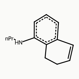 CCCNc1cccc2c1CCC=C2